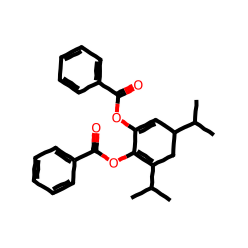 CC(C)C1=C(OC(=O)c2ccccc2)C(OC(=O)c2ccccc2)=CC(C(C)C)C1